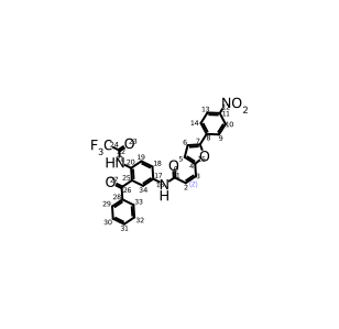 O=C(/C=C\c1ccc(-c2ccc([N+](=O)[O-])cc2)o1)Nc1ccc(NC(=O)C(F)(F)F)c(C(=O)c2ccccc2)c1